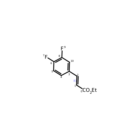 CCOC(=O)/C=C/c1ccc(F)c(F)c1